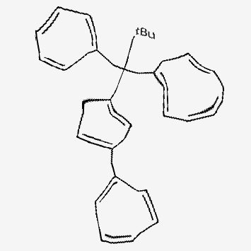 CC(C)(C)C(C1=CC(c2ccccc2)=CC1)(c1ccccc1)c1ccccc1